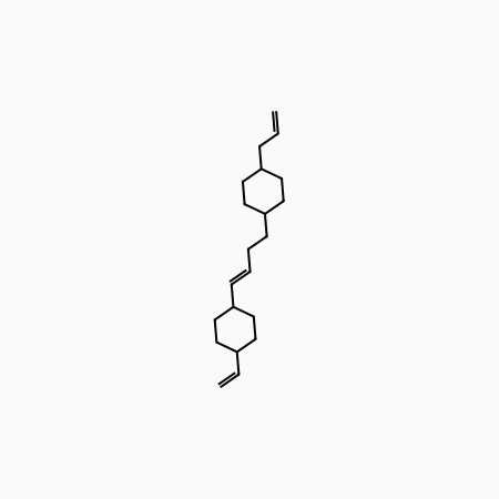 C=CCC1CCC(CCC=CC2CCC(C=C)CC2)CC1